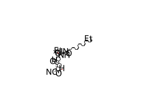 CC/C=C\C/C=C\C/C=C\C/C=C\C/C=C\C/C=C\CCC(=O)NCCNC(=O)[C@@]1(CCC(C)(C)CC)CC[C@]2(C)[C@@H](C1)C(=O)C=C1[C@@]3(C)C=C(C#N)C(=O)C(C)(C)[C@@H]3CC[C@]12C